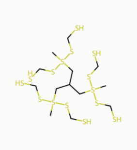 CS(CC(CS(C)(SCS)SCS)CS(C)(SCS)SCS)(SCS)SCS